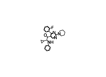 O=C(c1cnc(N2CCCCC2)nc1-c1ccccc1F)C(Nc1ccccc1)C1CC1